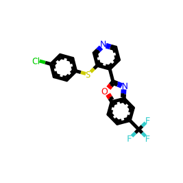 FC(F)(F)c1ccc2oc(-c3ccncc3Sc3ccc(Cl)cc3)nc2c1